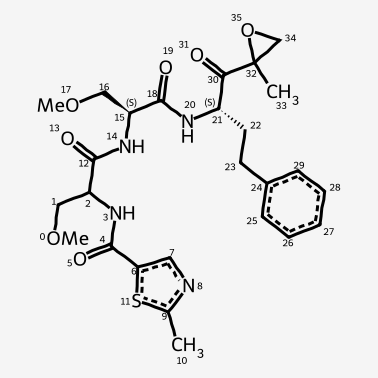 COCC(NC(=O)c1cnc(C)s1)C(=O)N[C@@H](COC)C(=O)N[C@@H](CCc1ccccc1)C(=O)C1(C)CO1